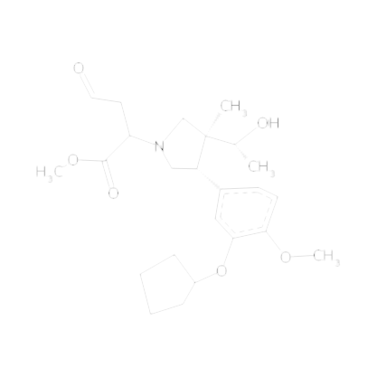 COC(=O)C(CC=O)N1C[C@@H](c2ccc(OC)c(OC3CCCC3)c2)[C@](C)([C@@H](C)O)C1